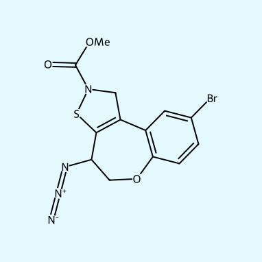 COC(=O)N1CC2=C(S1)C(N=[N+]=[N-])COc1ccc(Br)cc12